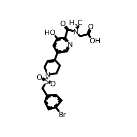 CN(CC(=O)O)C(=O)c1ncc(C2=CCN(S(=O)(=O)Cc3ccc(Br)cc3)CC2)cc1O